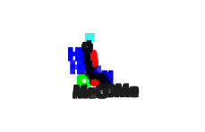 COc1cc2nccc(Oc3ncc(NC(=O)CC(=O)Nc4ccc(F)cc4)cc3Cl)c2cc1OC